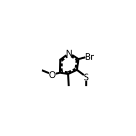 COc1cnc(Br)c(SC)c1C